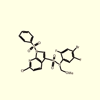 COCN(c1cc(F)c(Br)cc1F)S(=O)(=O)c1cn(S(=O)(=O)c2ccccc2)c2nc(Cl)ccc12